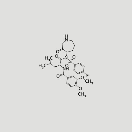 COc1ccc(C(=O)N[C@@H](CC(C)C)C(=O)N(C2CCCNCC2=O)S(=O)(=O)c2ccc(F)cc2)cc1OC